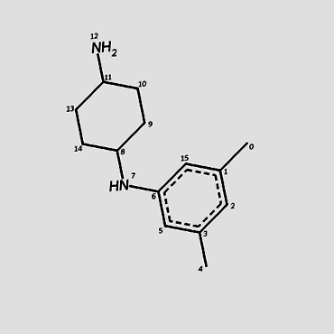 Cc1cc(C)cc(NC2CCC(N)CC2)c1